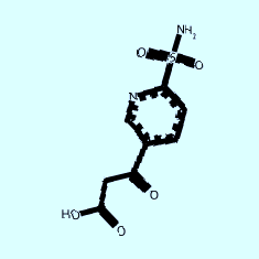 NS(=O)(=O)c1ccc(C(=O)CC(=O)O)cn1